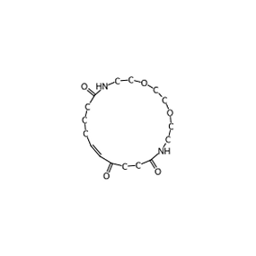 O=C1C=CCCCC(=O)NCCOCCOCCNC(=O)CC1